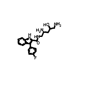 NCC(O)C[C@H](N)CNC(=O)c1[nH]c2ccccc2c1-c1ccc(F)cc1